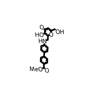 COC(=O)c1ccc(-c2ccc(NCc3oc(CO)cc(=O)c3O)cc2)cc1